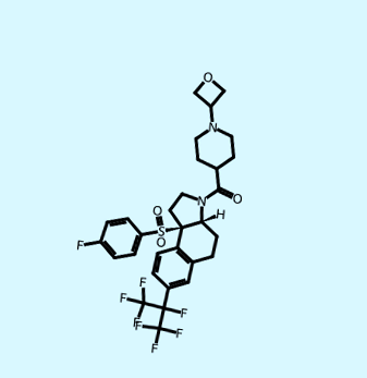 O=C(C1CCN(C2COC2)CC1)N1CC[C@@]2(S(=O)(=O)c3ccc(F)cc3)c3ccc(C(F)(C(F)(F)F)C(F)(F)F)cc3CC[C@@H]12